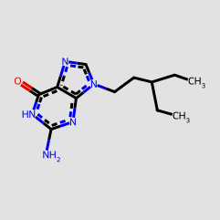 CCC(CC)CCn1cnc2c(=O)[nH]c(N)nc21